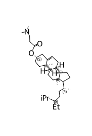 CC[C@H](CC[C@@H](C)C1CC[C@H]2[C@@H]3CC=C4C[C@@H](OC(=O)CCN(C)C)CC[C@]4(C)[C@H]3CC[C@]12C)C(C)C